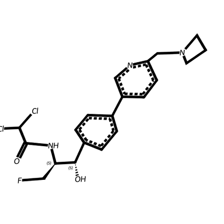 O=C(N[C@H](CF)[C@@H](O)c1ccc(-c2ccc(CN3CCC3)nc2)cc1)C(Cl)Cl